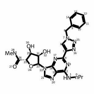 CCCNc1nc(-c2cn(Cc3ccccc3)nn2)nc2c1ncn2C1O[C@H](C(=O)NC)[C@@H](O)[C@H]1O